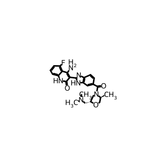 C[C@H]1CO[C@H](CN(C)C)CN1C(=O)c1ccc2nc(-c3c(N)c4c(F)cccc4[nH]c3=O)[nH]c2c1